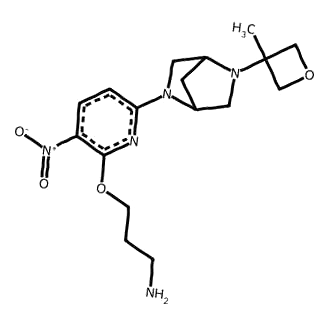 CC1(N2CC3CC2CN3c2ccc([N+](=O)[O-])c(OCCCN)n2)COC1